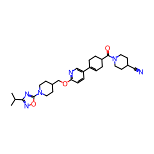 CC(C)c1noc(N2CCC(COc3ccc(C4=CCC(C(=O)N5CCC(C#N)CC5)CC4)cn3)CC2)n1